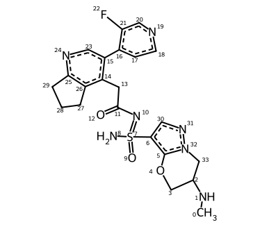 CNC1COc2c(S(N)(=O)=NC(=O)Cc3c(-c4ccncc4F)cnc4c3CCC4)cnn2C1